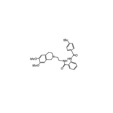 COc1cc2c(cc1OC)CN(CCNC(=O)c1ccccc1NC(=O)c1ccc(C(C)(C)C)cc1)CC2